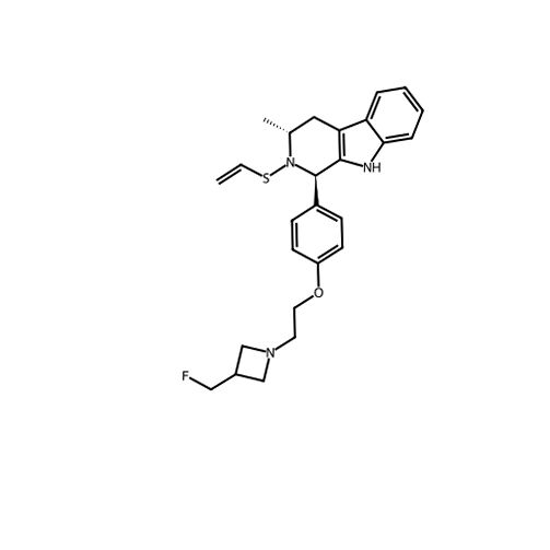 C=CSN1[C@H](c2ccc(OCCN3CC(CF)C3)cc2)c2[nH]c3ccccc3c2C[C@H]1C